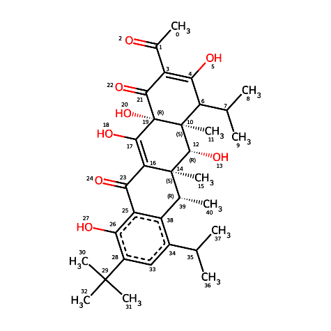 CC(=O)C1=C(O)C(C(C)C)[C@@]2(C)[C@H](O)[C@]3(C)C(=C(O)[C@@]2(O)C1=O)C(=O)c1c(O)c(C(C)(C)C)cc(C(C)C)c1[C@H]3C